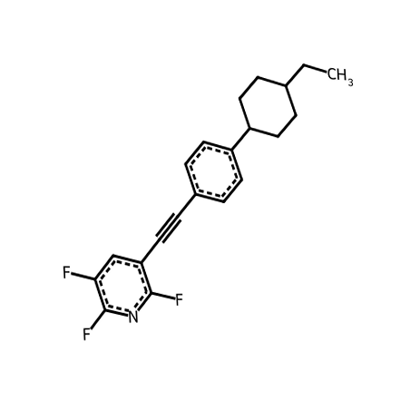 CCC1CCC(c2ccc(C#Cc3cc(F)c(F)nc3F)cc2)CC1